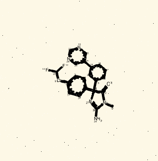 CN1C(=O)C(c2ccc(OC(F)F)cc2)(c2cccc(-c3cncnc3)c2)N=C1N